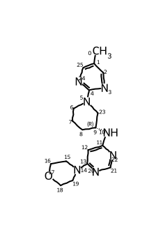 Cc1cnc(N2CCC[C@@H](Nc3cc(N4CCOCC4)ncn3)C2)nc1